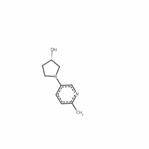 Cc1ccc(N2CC[C@H](O)C2)cn1